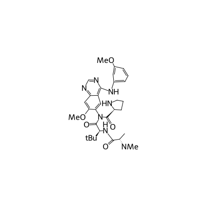 CN[C@@H](C)C(=O)N[C@H](C(=O)N(C(=O)[C@@H]1CCCN1)c1cc2c(Nc3cccc(OC)c3)ncnc2cc1OC)C(C)(C)C